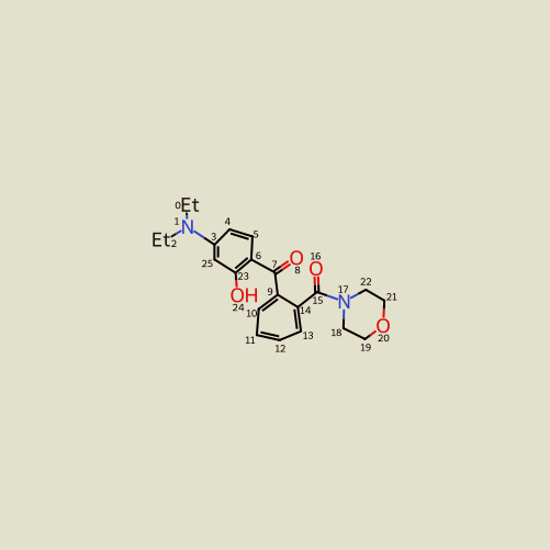 CCN(CC)c1ccc(C(=O)c2ccccc2C(=O)N2CCOCC2)c(O)c1